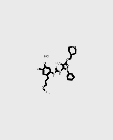 COCCCc1cc(Cl)c(Cl)cc1NC(=O)Nc1c(C)c(OCC2CCNCC2)nn1-c1ccccc1.Cl